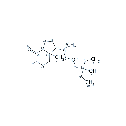 C=C(COCC(O)(CC)CC)C1CCC2C(=O)CCCC12C